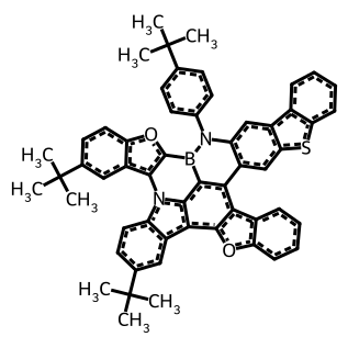 CC(C)(C)c1ccc(N2B3c4oc5ccc(C(C)(C)C)cc5c4-n4c5ccc(C(C)(C)C)cc5c5c6oc7ccccc7c6c(c3c54)-c3cc4sc5ccccc5c4cc32)cc1